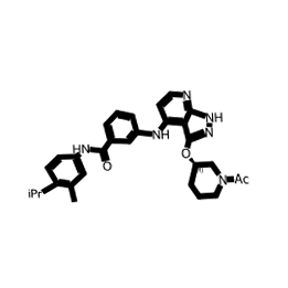 CC(=O)N1CCC[C@@H](Oc2n[nH]c3nccc(Nc4cccc(C(=O)Nc5ccc(C(C)C)c(C)c5)c4)c23)C1